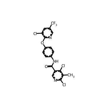 Cc1c(Cl)ncc(C(=O)Nc2ccc(Oc3ncc(C(F)(F)F)cc3Cl)cc2)c1Cl